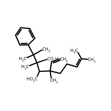 C=CC(C)(CCC=C(C)C)C(C(=O)O)C(C)(C(=O)O)C(C)(C)c1ccccc1